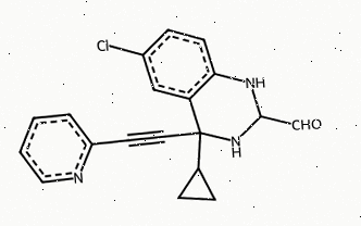 O=CC1Nc2ccc(Cl)cc2C(C#Cc2ccccn2)(C2CC2)N1